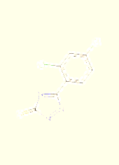 S=C1N=NC(c2ccc(Cl)cc2Cl)=N1